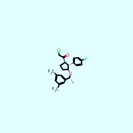 C[C@@H](O[C@H]1CC[C@@H](C(=O)CCl)[C@@H]1c1ccc(F)cc1)c1cc(C(F)(F)F)cc(C(F)(F)F)c1